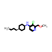 CCCC[C@H]1CC[C@@H](Nc2ccnc(COC)c2Cl)CC1